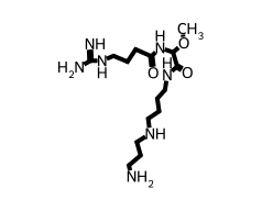 COC(NC(=O)CCCNC(=N)N)C(=O)NCCCCNCCCN